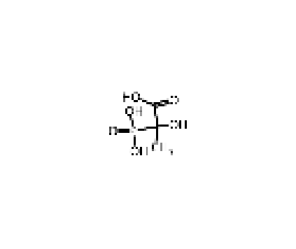 CC(O)(C(=O)O)P(=O)(O)O